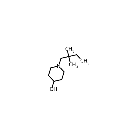 CCC(C)(C)CN1CCC(O)CC1